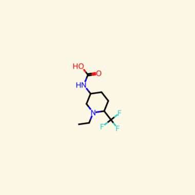 CCN1CC(NC(=O)O)CCC1C(F)(F)F